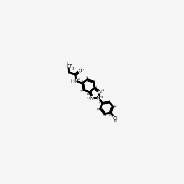 O=C(CC(F)(F)F)Nc1ccc2nn(-c3ccc(Cl)cc3)nc2c1